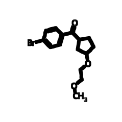 COCCOC1CCC(C(=O)c2ccc(Br)cc2)C1